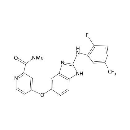 CNC(=O)c1cc(Oc2ccc3[nH]c(Nc4cc(C(F)(F)F)ccc4F)nc3c2)ccn1